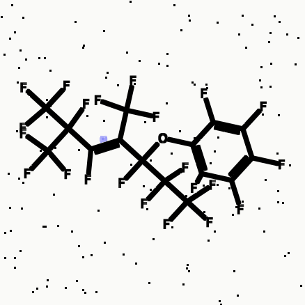 F/C(=C(/C(F)(F)F)C(F)(Oc1c(F)c(F)c(F)c(F)c1F)C(F)(F)C(F)(F)F)C(F)(C(F)(F)F)C(F)(F)F